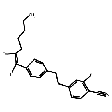 CCCCC/C(F)=C(/F)c1ccc(CCc2ccc(C#N)c(F)c2)cc1